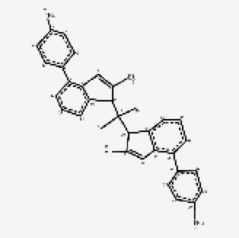 CCC1=Cc2c(-c3ccc(C(C)(C)C)cc3)cccc2C1C(C)(C)C1C(CC)=Cc2c(-c3ccc(C(C)(C)C)cc3)cccc21